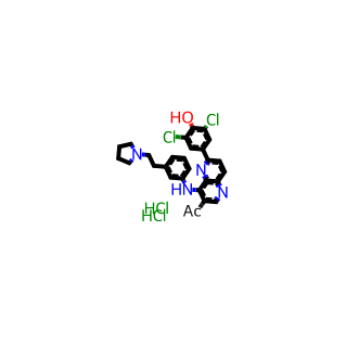 CC(=O)c1cnc2ccc(-c3cc(Cl)c(O)c(Cl)c3)nc2c1Nc1cccc(CCN2CCCC2)c1.Cl.Cl